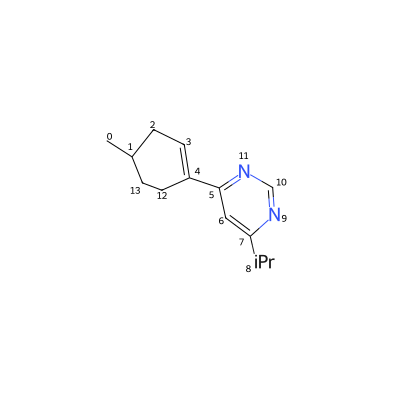 CC1CC=C(c2cc(C(C)C)ncn2)CC1